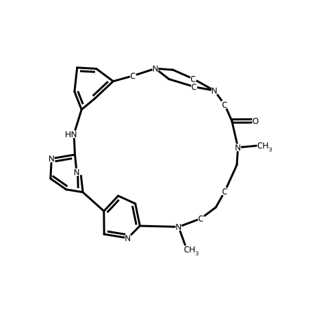 CN1CCCCN(C)c2ccc(cn2)-c2ccnc(n2)Nc2cccc(c2)CN2CCN(CC2)CC1=O